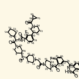 O=C(N[C@@H](C(=O)N1CCC([S+]([O-])C2CCN(CC(=O)N3CCN(C(=O)c4cc(Cc5n[nH]c(=O)c6ccccc56)ccc4F)CC3)CC2)CC1)C1CCCCC1)c1cccc(C2CCCN(C(=O)C3CC3)C2)c1F